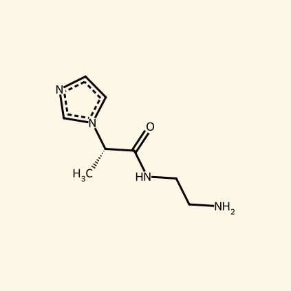 C[C@@H](C(=O)NCCN)n1ccnc1